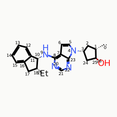 [CH2][C@H]1C[C@@H](n2ccc3c(N[C@H]4c5ccccc5C[C@H]4CC)ncnc32)C[C@@H]1O